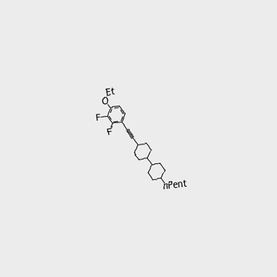 CCCCCC1CCC(C2CCC(C#Cc3ccc(OCC)c(F)c3F)CC2)CC1